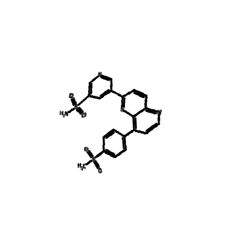 CS(=O)(=O)c1ccc(-c2ccnc3ccc(-c4cncc(S(N)(=O)=O)c4)nc23)cc1